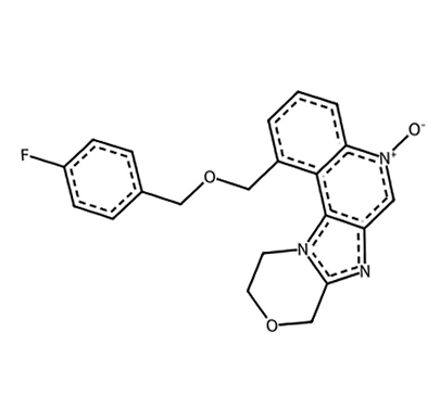 [O-][n+]1cc2nc3n(c2c2c(COCc4ccc(F)cc4)cccc21)CCOC3